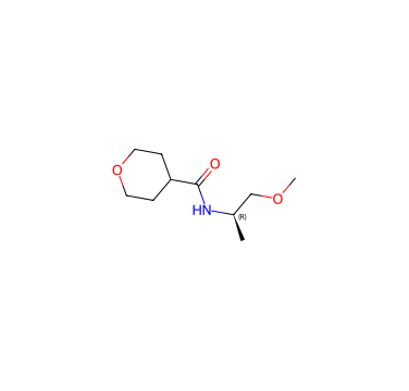 COC[C@@H](C)NC(=O)C1CCOCC1